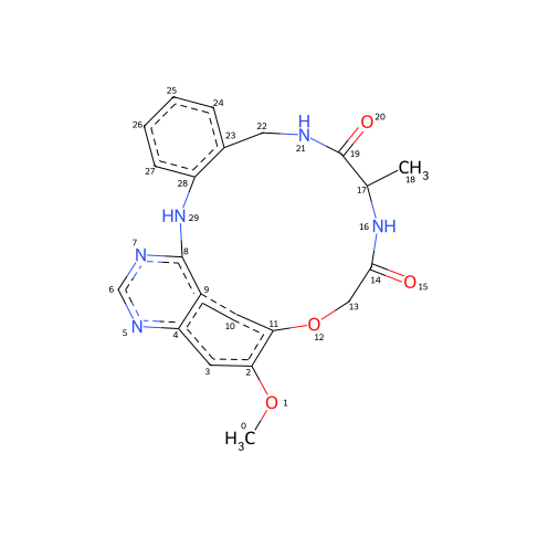 COc1cc2ncnc3c2cc1OCC(=O)NC(C)C(=O)NCc1ccccc1N3